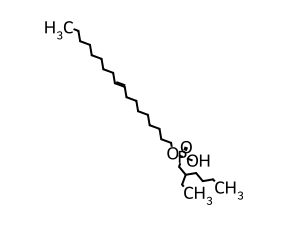 CCCCCCCCC=CCCCCCCCCOP(=O)(O)CC(CC)CCCC